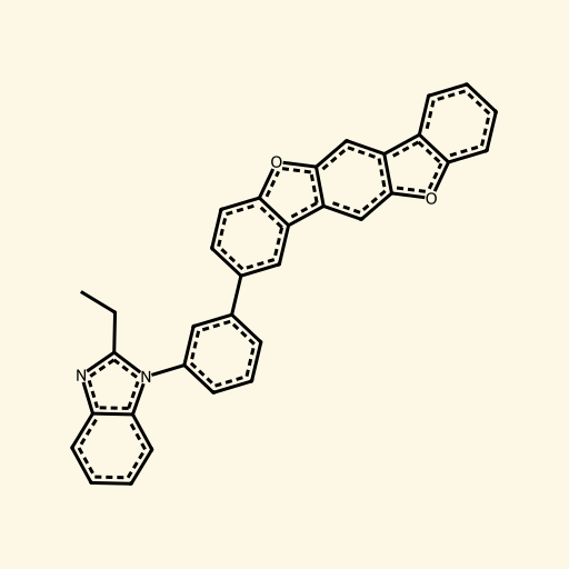 CCc1nc2ccccc2n1-c1cccc(-c2ccc3oc4cc5c(cc4c3c2)oc2ccccc25)c1